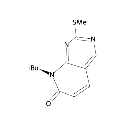 CC[C@H](C)n1c(=O)ccc2cnc(SC)nc21